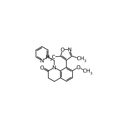 COc1ccc2c(c1-c1c(C)noc1C)N(Cc1ccccn1)C(=O)CC2